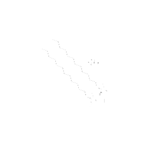 CCCCCCCCCCCCOP(=O)(O)O.CCCCCCCCCCCCOP(=O)([O-])[O-].[Na+].[Na+]